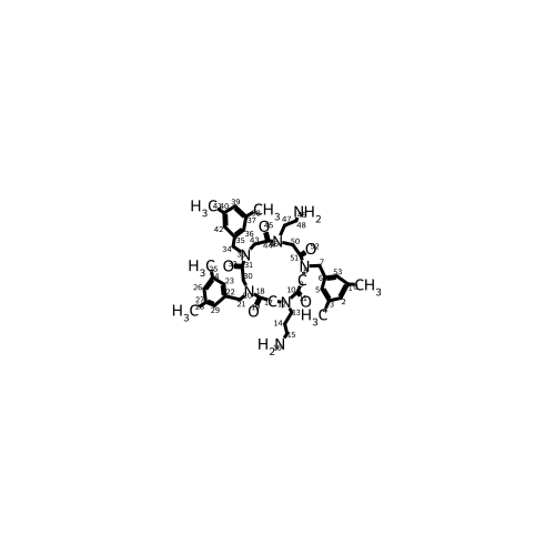 Cc1cc(C)cc(CN2CC(=O)N(CCCN)CC(=O)N(Cc3cc(C)cc(C)c3)CC(=O)N(Cc3cc(C)cc(C)c3)CC(=O)N(CCN)CC2=O)c1